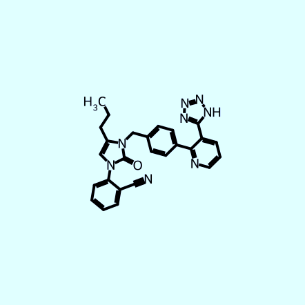 CCCc1cn(-c2ccccc2C#N)c(=O)n1Cc1ccc(-c2ncccc2-c2nnn[nH]2)cc1